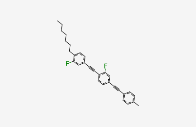 CCCCCCCc1ccc(C#Cc2ccc(C#Cc3ccc(C)cc3)cc2F)cc1F